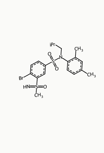 Cc1ccc(N(CC(C)C)S(=O)(=O)c2ccc(Br)c(S(C)(=N)=O)c2)c(C)c1